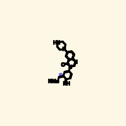 CN/C=C1/C=C(n2cnc3ccc(N4CCNCC4)cc3c2=O)C=CC1=N